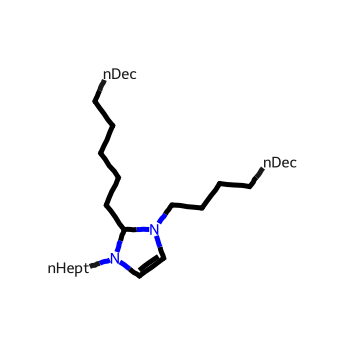 CCCCCCCCCCCCCCCC1N(CCCCCCC)C=CN1CCCCCCCCCCCCCC